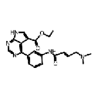 CCOC(=O)c1c[nH]c2ncnc(-c3cccc(NC(=O)C=CCN(C)C)c3)c12